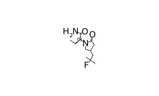 CC[C@@H](C(N)=O)N1CC(CC(C)(C)F)CC1=O